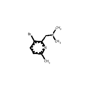 Cc1ccc(Br)c(CN(C)C)n1